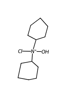 O[N+](Cl)(C1CCCCC1)C1CCCCC1